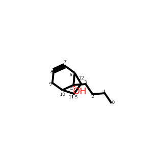 CCCCC1(O)C2C#CCC1CC2